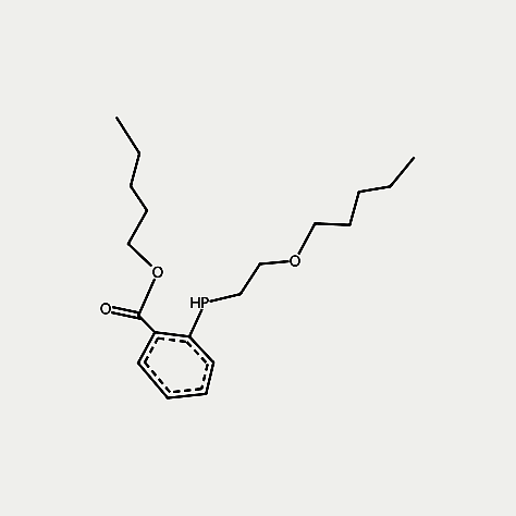 CCCCCOCCPc1ccccc1C(=O)OCCCCC